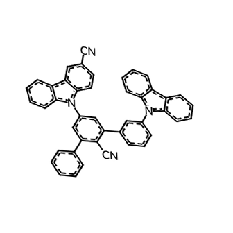 N#Cc1ccc2c(c1)c1ccccc1n2-c1cc(-c2ccccc2)c(C#N)c(-c2cccc(-n3c4ccccc4c4ccccc43)c2)c1